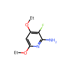 CCOc1cc(OCC)c(F)c(N)n1